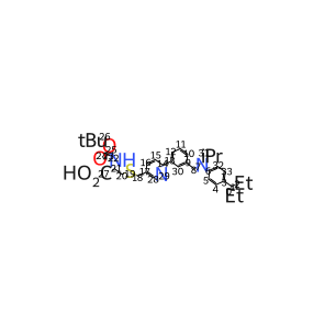 CCC(CC)c1ccc(N(Cc2cccc(-c3ccc(CSC[C@H](NC(=O)OC(C)(C)C)C(=O)O)cn3)c2)C(C)C)cc1